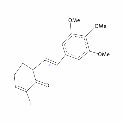 COc1cc(/C=C/C2CCC=C(I)C2=O)cc(OC)c1OC